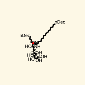 CCCCCCCCCCCCCCCCCCCCCCCCCC(=O)N[C@@H](COC(=O)[C@]1(O)O[C@H](CO)[C@H](O)[C@H](O)[C@H]1O)[C@H](O)[C@H](O)CCCCCCCCCCCCCC